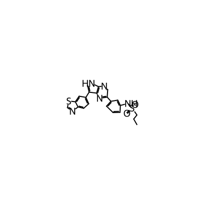 CCCS(=O)(=O)Nc1cccc(-c2cnc3[nH]cc(-c4ccc5ncsc5c4)c3n2)c1